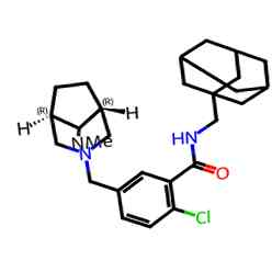 CNC1[C@@H]2CC[C@@H]1CN(Cc1ccc(Cl)c(C(=O)NCC34CC5CC(CC(C5)C3)C4)c1)C2